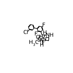 C[S+]([O-])N[C@@H]1[C@H](Cc2cc(F)cc(-c3cccc(Cl)c3)c2F)NC2CC1(F)C2